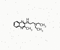 CCN(CC)CCNc1nc2ccccc2nc1C